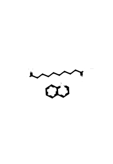 O=C(O)CCCCCCCCC(=O)O.c1ccc2ncccc2c1